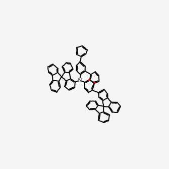 c1ccc(-c2ccc(N(c3ccc(-c4ccc5c(c4)C4(c6ccccc6-c6ccccc64)c4ccccc4-5)cc3)c3cccc4c3-c3ccccc3C43c4ccccc4-c4ccccc43)c(-c3ccccc3)c2)cc1